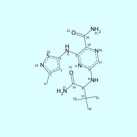 Cc1cc(Nc2nc(NC(C(N)=O)C(C)(C)C)cnc2C(N)=O)sn1